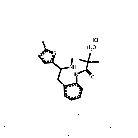 CNC(Cc1ccccc1NC(=O)C(C)(C)C)c1ccc(C)s1.Cl.O